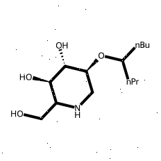 CCCCC(CCC)O[C@H]1CNC(CO)[C@@H](O)[C@@H]1O